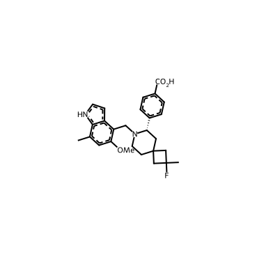 COc1cc(C)c2[nH]ccc2c1CN1CCC2(C[C@H]1c1ccc(C(=O)O)cc1)CC(C)(F)C2